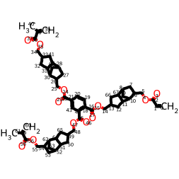 C=CC(=O)OCC1CC2CC1C1CC(COC(=O)c3ccc(C(=O)OCC4CC5CC4C4CC(COC(=O)C(=C)C)CC54)cc3C(=O)OCC3CC4C5CC(COC(=O)C(=C)C)C(C5)C4C3)CC21